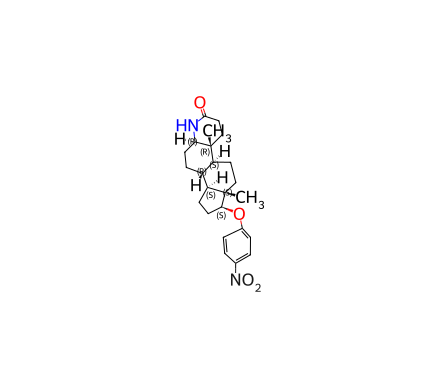 C[C@]12CCC(=O)N[C@@H]1CC[C@@H]1[C@@H]2CC[C@]2(C)[C@@H](Oc3ccc([N+](=O)[O-])cc3)CC[C@@H]12